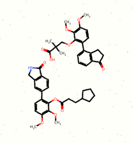 COc1ccc(-c2ccc3c(c2)CNC3=O)c(OC(=O)CCC2CCCC2)c1OC.COc1ccc(-c2cccc3c2CCC3=O)c(OCC(C)(C)C(=O)O)c1OC